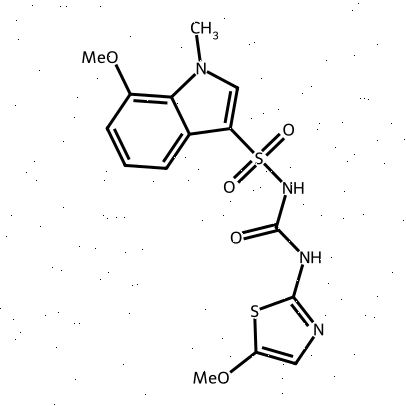 COc1cnc(NC(=O)NS(=O)(=O)c2cn(C)c3c(OC)cccc23)s1